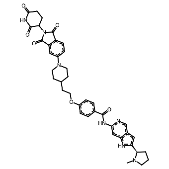 CN1CCC[C@@H]1c1cc2cnc(NC(=O)c3ccc(OCCC4CCN(c5ccc6c(c5)C(=O)N(C5CCC(=O)NC5=O)C6=O)CC4)cc3)cc2[nH]1